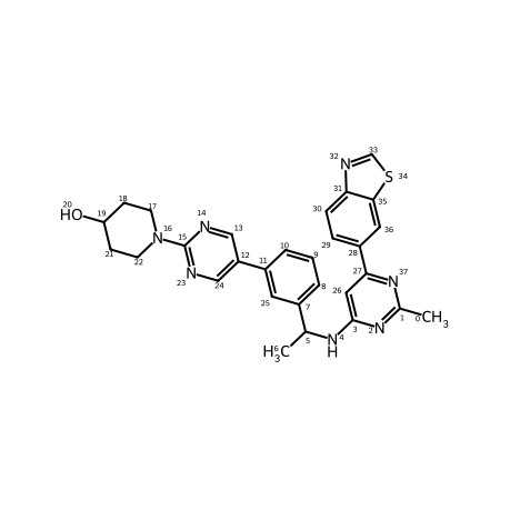 Cc1nc(NC(C)c2cccc(-c3cnc(N4CCC(O)CC4)nc3)c2)cc(-c2ccc3ncsc3c2)n1